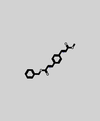 COC(=O)/C=C/c1ccc(/C=C/C(=O)OCc2ccccc2)cc1